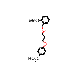 COc1ccccc1COCCCOc1ccc(C(=O)O)cc1